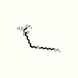 CCCCCCCCCOCC/C=C\CCCCCCC(=O)N[C@H](C)CC